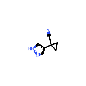 N#CC1(c2cn[nH]c2)CC1